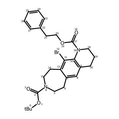 CC(C)(C)OC(=O)N1CCc2cc3c(c(Br)c2CC1)N(C(=O)OCCc1ccccc1)CCC3